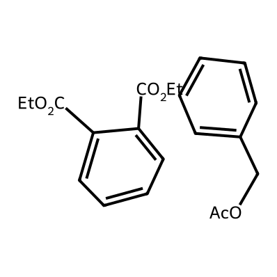 CC(=O)OCc1ccccc1.CCOC(=O)c1ccccc1C(=O)OCC